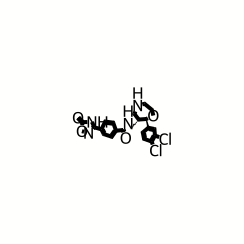 O=C(NC[C@@H]1CNCCO[C@H]1c1ccc(Cl)c(Cl)c1)c1ccc(-c2noc(=O)[nH]2)cc1